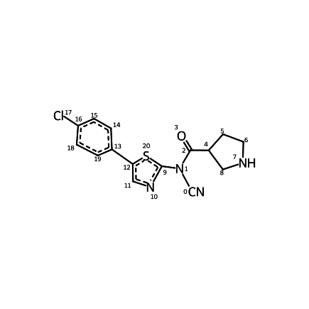 N#CN(C(=O)C1CCNC1)c1ncc(-c2ccc(Cl)cc2)s1